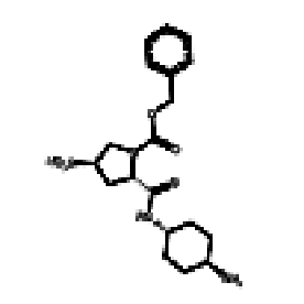 N[C@H]1CC[C@H](NC(=O)[C@@H]2C[C@@H](S(=O)(=O)O)CN2C(=O)OCc2ccccc2)CC1